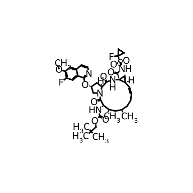 COc1cc2ccnc(O[C@@H]3C[C@H]4C(=O)N[C@]5(C(=O)NS(=O)(=O)C6(F)CC6)C[C@H]5/C=C\CC[C@@H](C)C[C@@H](C)[C@H](NC(=O)OCC(C)(C)C)C(=O)N4C3)c2cc1F